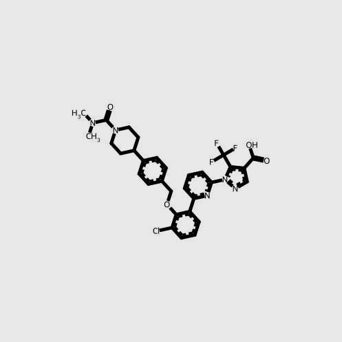 CN(C)C(=O)N1CCC(c2ccc(COc3c(Cl)cccc3-c3cccc(-n4ncc(C(=O)O)c4C(F)(F)F)n3)cc2)CC1